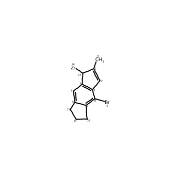 CC1=Cc2c(cc3c(c2Br)CCC3)[CH]1[Zr]